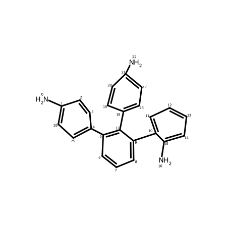 Nc1ccc(-c2cccc(-c3ccccc3N)c2-c2ccc(N)cc2)cc1